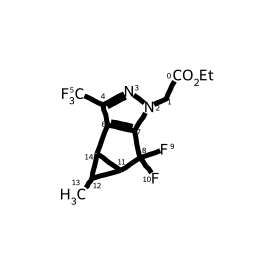 CCOC(=O)Cn1nc(C(F)(F)F)c2c1C(F)(F)C1C(C)C21